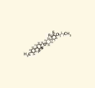 CCCCOc1ccc(C2CCC(OCc3ccc(-c4ccc(C)cc4)c(F)c3F)CC2)c(F)c1F